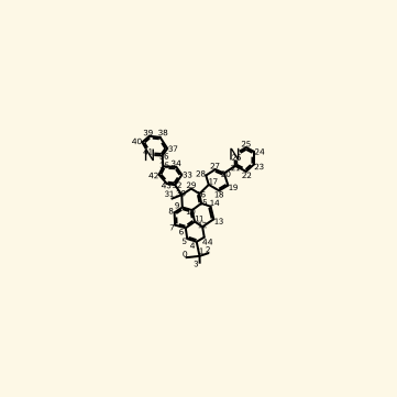 CC(C)(C)C1=Cc2ccc3c4c2C(C=CC4=C(C2C=CC(c4ccccn4)=CC2)CC3(C)c2ccc(-c3ccccn3)cc2)C1